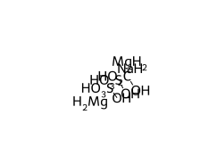 O=C(O)O.O=S(=O)(O)O.O=S(=O)(O)O.[MgH2].[MgH2].[NaH]